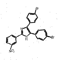 O=[N+]([O-])c1cccc(-c2nc(-c3ccc(Br)cc3)c(-c3ccc(Br)cc3)[nH]2)c1